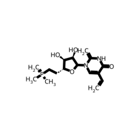 C=CC1=CN(C2O[C@H](CCP(=C)(C)C)[C@@H](O)[C@H]2O)C(=C)NC1=O